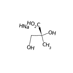 C[C@@](O)(CO)C(=O)O.[NaH]